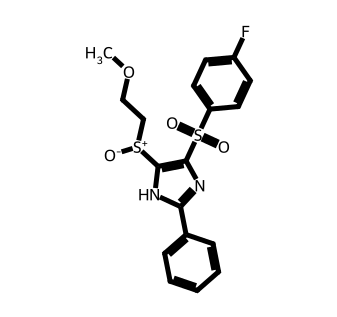 COCC[S+]([O-])c1[nH]c(-c2ccccc2)nc1S(=O)(=O)c1ccc(F)cc1